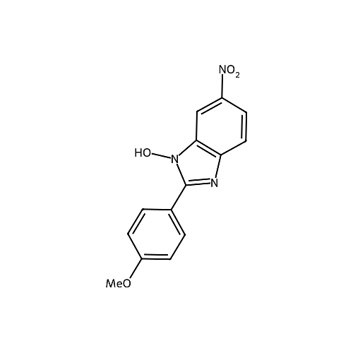 COc1ccc(-c2nc3ccc([N+](=O)[O-])cc3n2O)cc1